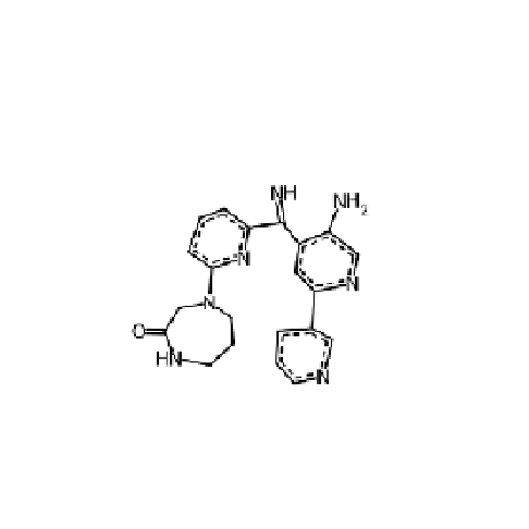 N=C(c1cccc(N2CCCNC(=O)C2)n1)c1cc(-c2cccnc2)ncc1N